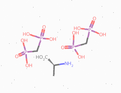 C[C@H](N)C(=O)O.O=P(O)(O)CP(=O)(O)O.O=P(O)(O)CP(=O)(O)O